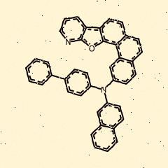 c1ccc(-c2ccc(N(c3ccc4ccccc4c3)c3ccc4ccc5ccc6c7cccnc7oc6c5c4c3)cc2)cc1